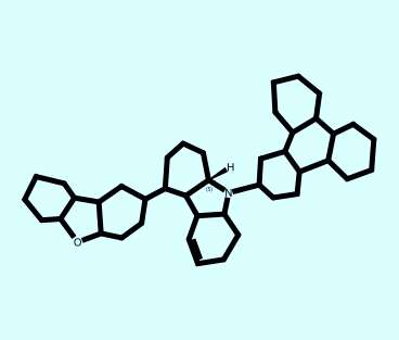 C1=CC2C3C(C4CCC5OC6CCCCC6C5C4)CCC[C@@H]3N(C3CCC4C5CCCCC5C5CCCCC5C4C3)C2CC1